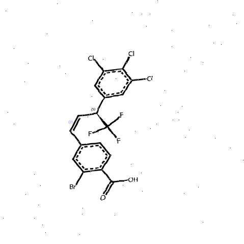 O=C(O)c1ccc(/C=C\[C@@H](c2cc(Cl)c(Cl)c(Cl)c2)C(F)(F)F)cc1Br